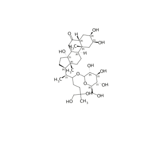 C[C@H](C(CCC(C)(O)CO)OC1O[C@H](CO)[C@@H](O)[C@H](O)[C@H]1O)[C@H]1CC[C@@]2(O)C3=CC(=O)[C@@H]4C[C@@H](O)[C@@H](O)C[C@]4(C)[C@H]3CC[C@]12C